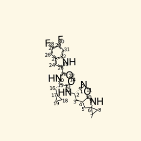 N#C[C@H](C[C@@H]1CC2(CC2)NC1=O)NC(=O)[C@H](CC1CC1)NC(=O)c1cc2cc(F)c(F)cc2[nH]1